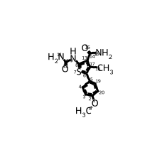 COc1ccc(-c2sc(NC(N)=O)c(C(N)=O)c2C)cc1